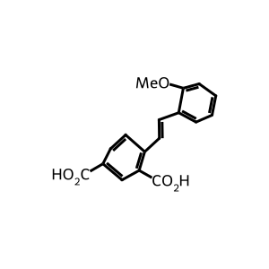 COc1ccccc1C=Cc1ccc(C(=O)O)cc1C(=O)O